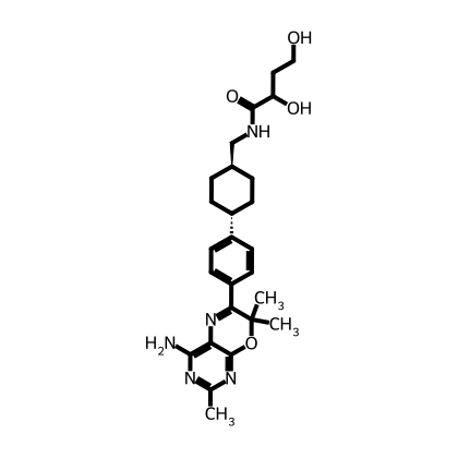 Cc1nc(N)c2c(n1)OC(C)(C)C(c1ccc([C@H]3CC[C@H](CNC(=O)C(O)CCO)CC3)cc1)=N2